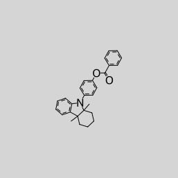 CC12CCCCC1(C)N(c1ccc(OC(=O)c3ccccc3)cc1)c1ccccc12